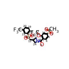 CS(=O)(=O)c1ccc(C(=O)N2CC(CS(=O)(=O)c3cccc(C(F)(F)F)c3)C2)c(OC(F)(F)F)c1